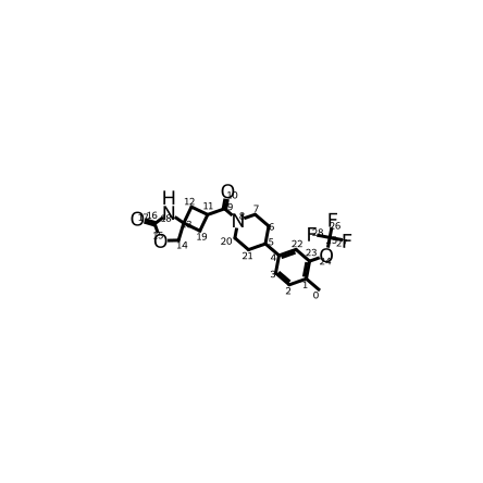 Cc1ccc(C2CCN(C(=O)C3CC4(COC(=O)N4)C3)CC2)cc1OC(F)(F)F